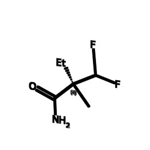 CC[C@](C)(C(N)=O)C(F)F